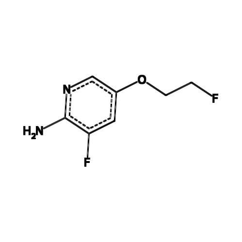 Nc1ncc(OCCF)cc1F